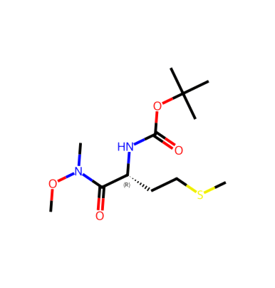 CON(C)C(=O)[C@@H](CCSC)NC(=O)OC(C)(C)C